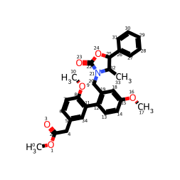 COC(=O)Cc1ccc(OC)c(-c2ccc(OC)cc2CN2C(=O)OC(c3ccccc3)C2C)c1